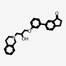 O=C1CCc2ccc(-c3cccc(OCC(O)CN4CCc5ccccc5C4)c3)cc21